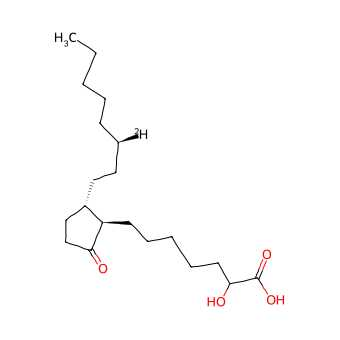 [2H][C@H](CCCCC)CC[C@H]1CCC(=O)[C@@H]1CCCCCC(O)C(=O)O